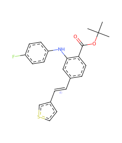 CC(C)(C)OC(=O)c1ccc(/C=C/c2ccsc2)cc1Nc1ccc(F)cc1